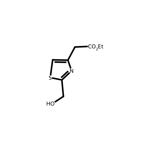 CCOC(=O)Cc1csc(CO)n1